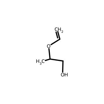 C=COC(C)CO